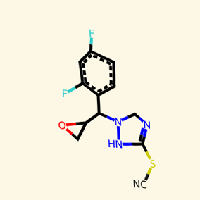 N#CSC1=NCN(C(c2ccc(F)cc2F)C2CO2)N1